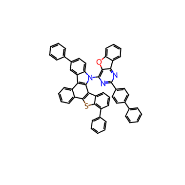 c1ccc(-c2ccc(-c3nc(-n4c5ccc(-c6ccccc6)cc5c5c6ccccc6c6sc7c(-c8ccccc8)cccc7c6c54)c4oc5ccccc5c4n3)cc2)cc1